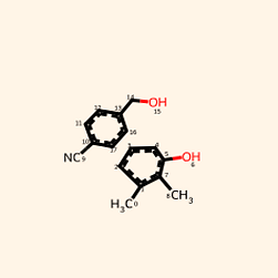 Cc1cccc(O)c1C.N#Cc1ccc(CO)cc1